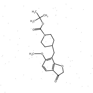 COc1ccc2c(c1CC1CCN(C(=O)OC(C)(C)C)CC1)OCC2=O